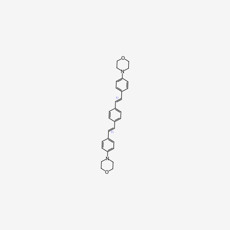 C(=C\c1ccc(N2CCOCC2)cc1)/c1ccc(/C=C/c2ccc(N3CCOCC3)cc2)cc1